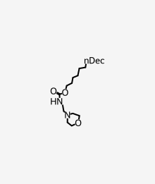 CCCCCCCCCCCCCCCCOC(=O)NCCN1CCOCC1